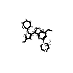 CCc1cc(N2CCOC[C@H]2C)nc2c(-c3cc(C)nn3C3CCCCO3)nsc12